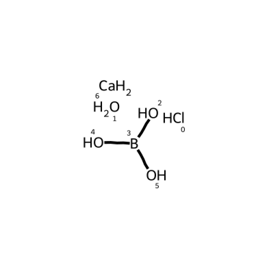 Cl.O.OB(O)O.[CaH2]